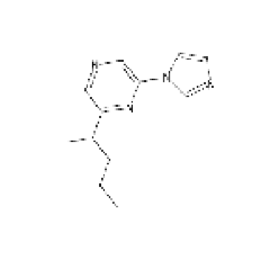 CCCC(C)c1cncc(-n2ccnc2)n1